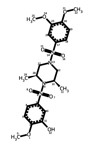 COc1ccc(S(=O)(=O)N2[C@H](C)CN(S(=O)(=O)c3ccc(OC)c(OC)c3)C[C@@H]2C)cc1O